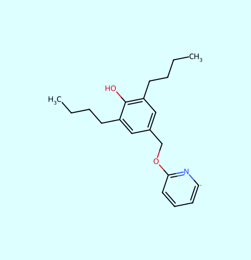 CCCCc1cc(COc2ccc[c]n2)cc(CCCC)c1O